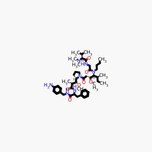 CCCCN(C(=O)CNC(=O)[C@H](C(C)C)N(C)C)[C@@H]([C@@H](C)CC)[C@@H](CC(=O)N1CCC[C@H]1[C@H](OC)[C@@H](C)C(=O)NC(Cc1ccccc1)C(=O)NCc1ccc(N)cc1)OC